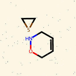 C1=CCONC1.C1CS1